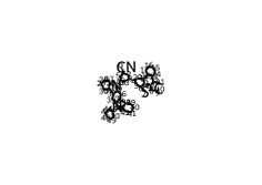 N#Cc1cc(-c2cc3sc4cccc5c6ccccc6c(c2)c3c45)cc(-n2c3ccccc3c3cc4c(cc32)c2ccccc2n4-c2ccccc2)c1